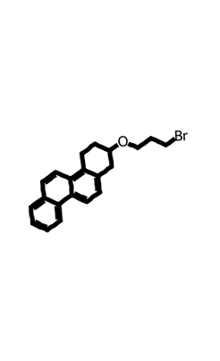 BrCCCOC1CCc2c(ccc3c2ccc2ccccc23)C1